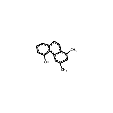 Cc1cc(C)c2ccc3cccc(O)c3c2n1